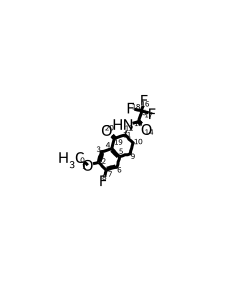 COc1cc2c(cc1F)CC[C@@H](NC(=O)C(F)(F)F)C2=O